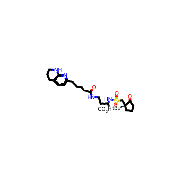 CC(C)(C)[C@]1(CS(=O)(=O)NC(CCNC(=O)CCCCc2ccc3c(n2)NCCC3)C(=O)O)CCCC1=O